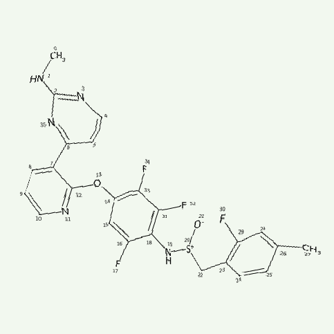 CNc1nccc(-c2cccnc2Oc2cc(F)c(N[S+]([O-])Cc3ccc(C)cc3F)c(F)c2F)n1